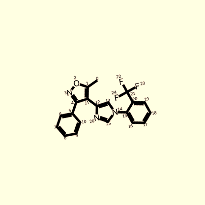 Cc1onc(-c2ccccc2)c1-c1cn(-c2ccccc2C(F)(F)F)cn1